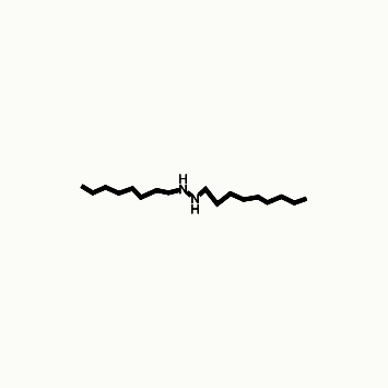 CCCCCCCCCNNCCCCCCCC